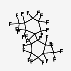 FC(F)(F)C1(F)C(F)(F)C(F)(F)C(F)(F)C(F)(C2(F)C(F)(F)C(F)(F)C(F)(F)C(F)(C(F)(F)F)C2(F)F)C1(F)F